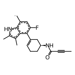 [CH2]c1cc(F)c(C2=CCC[C@H](NC(=O)C#CC)C2)c2c(C)c(C)[nH]c12